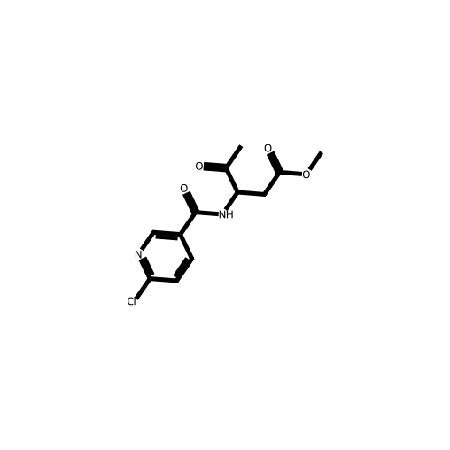 COC(=O)CC(NC(=O)c1ccc(Cl)nc1)C(C)=O